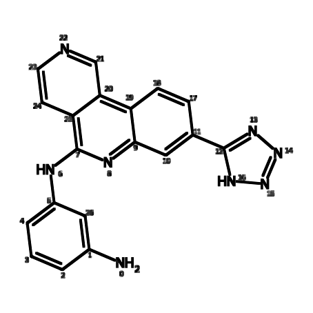 Nc1cccc(Nc2nc3cc(-c4nnn[nH]4)ccc3c3cnccc23)c1